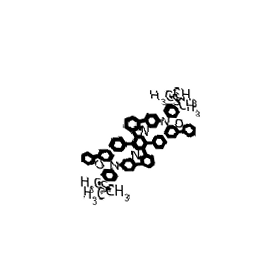 CS(C)(C)c1ccc(N(c2ccc3c4cccc5c6c(-c7ccccc7)c7c(c(-c8ccccc8)c6n(c3c2)c45)c2cccc3c4ccc(N(c5ccc(S(C)(C)C)cc5)c5cccc6c5oc5ccccc56)cc4n7c32)c2cccc3c2oc2ccccc23)cc1